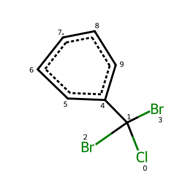 ClC(Br)(Br)c1cc[c]cc1